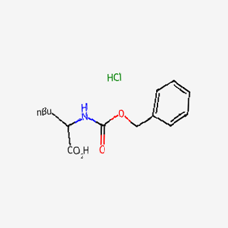 CCCCC(NC(=O)OCc1ccccc1)C(=O)O.Cl